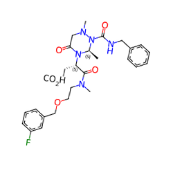 C[C@H]1N([C@@H](CC(=O)O)C(=O)N(C)CCOCc2cccc(F)c2)C(=O)CN(C)N1C(=O)NCc1ccccc1